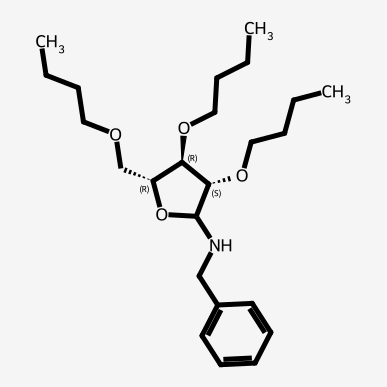 CCCCOC[C@H]1OC(NCc2ccccc2)[C@@H](OCCCC)[C@@H]1OCCCC